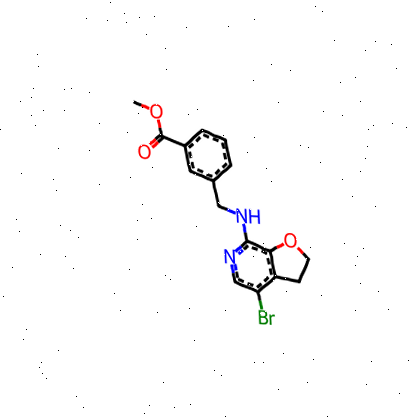 COC(=O)c1cccc(CNc2ncc(Br)c3c2OCC3)c1